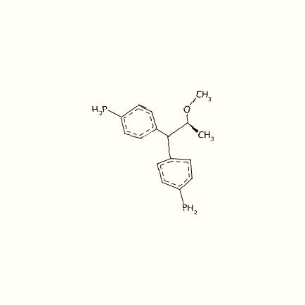 CO[C@@H](C)C(c1ccc(P)cc1)c1ccc(P)cc1